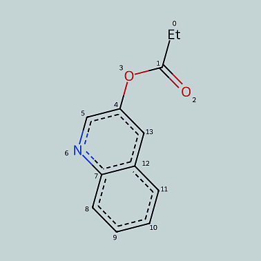 CCC(=O)Oc1cnc2ccccc2c1